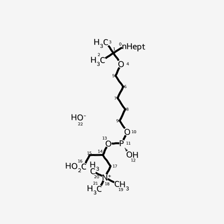 CCCCCCCC(C)(C)OCCCCCO[P@](O)OC(CC(=O)O)C[N+](C)(C)C.[OH-]